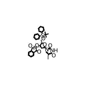 CC(C)(C)[Si](OC[C@H]1O[C@@H](n2cc(I)c(=O)[nH]c2=O)C[C@@H]1ON1C(=O)c2ccccc2C1=O)(c1ccccc1)c1ccccc1